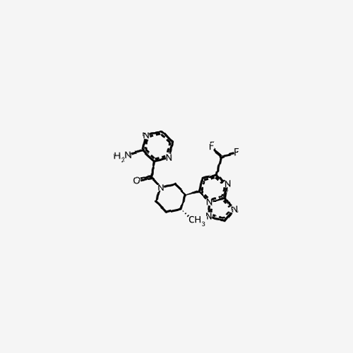 C[C@@H]1CCN(C(=O)c2nccnc2N)C[C@H]1c1cc(C(F)F)nc2ncnn12